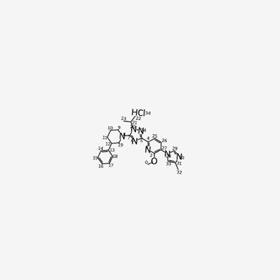 COc1nc(-c2nc(N3CCCC(c4ccccc4)C3)n(C(C)C)n2)ccc1-n1cnc(C)c1.Cl